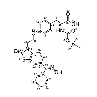 CC(C)(C)OC(=O)NC(Cc1ccc(OCCn2c(=O)sc3cc(C(=NO)c4ccccc4)ccc32)cc1)C(=O)O